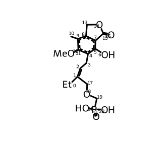 CCC(=CCc1c(O)c2c(c(C)c1OC)COC2=O)COCP(=O)(O)O